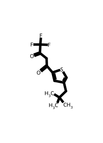 CC(C)(C)Cc1csc(C(=O)CC(=O)C(F)(F)F)c1